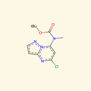 CN(C(=O)OC(C)(C)C)c1cc(Cl)nc2ccnn12